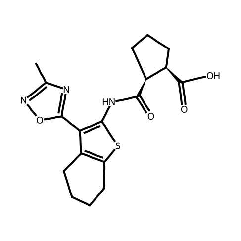 Cc1noc(-c2c(NC(=O)[C@H]3CCC[C@H]3C(=O)O)sc3c2CCCC3)n1